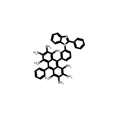 Bc1c(B)c(B)c2c(-c3cccc(-n4c(-c5ccccc5)nc5ccccc54)c3)c3c(B)c(B)c(B)c(B)c3c(-c3ccccc3)c2c1B